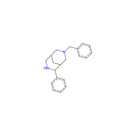 c1ccc(CN2CC3CNC(c4ccccc4)C(C3)C2)cc1